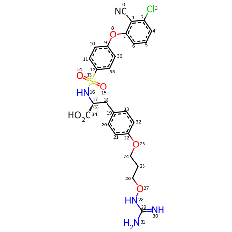 N#Cc1c(Cl)cccc1Oc1ccc(S(=O)(=O)N[C@@H](Cc2ccc(OCCCONC(=N)N)cc2)C(=O)O)cc1